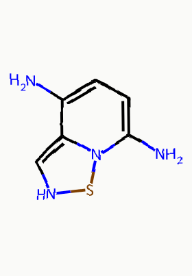 NC1=CC=C(N)N2SNC=C12